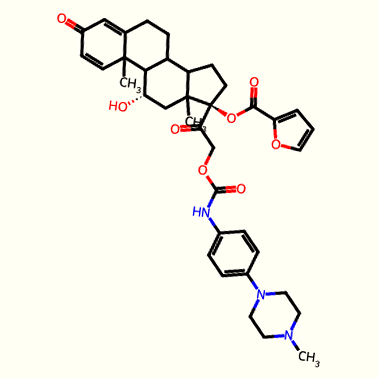 CN1CCN(c2ccc(NC(=O)OCC(=O)[C@@]3(OC(=O)c4ccco4)CCC4C5CCC6=CC(=O)C=CC6(C)C5[C@@H](O)CC43C)cc2)CC1